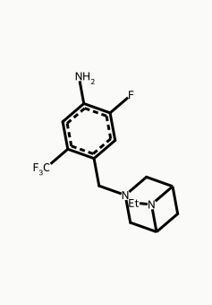 CCN1C2CC1CN(Cc1cc(F)c(N)cc1C(F)(F)F)C2